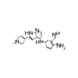 CN1CC=C(c2cc3c(Nc4ccc(N)c(C=N)c4)ccnc3[nH]2)CC1